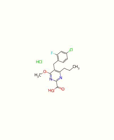 CCCc1nc(C(=O)O)nc(OC)c1Cc1ccc(Cl)cc1F.Cl